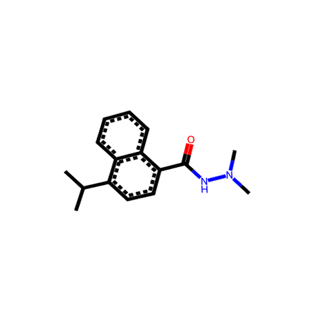 CC(C)c1ccc(C(=O)NN(C)C)c2ccccc12